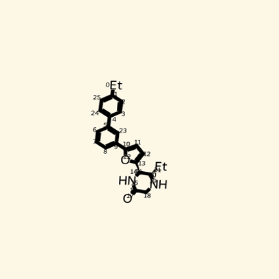 CCc1ccc(-c2cccc(-c3ccc([C@@H]4NC(=O)CN[C@H]4CC)o3)c2)cc1